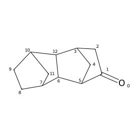 O=C1CC2CC1C1C3CCC(C3)C21